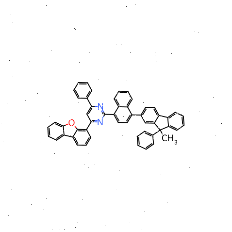 CC1(c2ccccc2)c2ccccc2-c2ccc(-c3ccc(-c4nc(-c5ccccc5)cc(-c5cccc6c5oc5ccccc56)n4)c4ccccc34)cc21